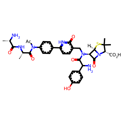 CC(=O)N(C(=O)[C@H](C)NC(=O)[C@H](C)N)c1ccc(-c2ccc(CN(C(=O)C(N)c3ccc(O)cc3)[C@@H]3C(=O)N4[C@@H]3SC(C)(C)[C@@H]4C(=O)O)c(=O)[nH]2)cc1